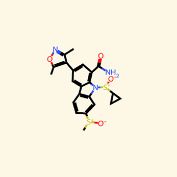 Cc1noc(C)c1-c1cc(C(N)=O)c2c(c1)c1ccc([S+](C)[O-])cc1n2[S+]([O-])C1CC1